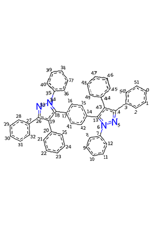 c1ccc(-c2nn(-c3ccccc3)c(-c3ccc(-c4c(-c5ccccc5)c(-c5ccccc5)nn4-c4ccccc4)cc3)c2-c2ccccc2)cc1